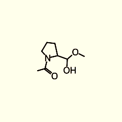 COC(O)C1CCCN1C(C)=O